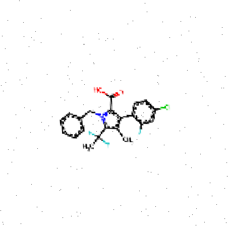 Cc1c(-c2ccc(Cl)cc2F)c(C(=O)O)n(Cc2ccccc2)c1C(C)(F)F